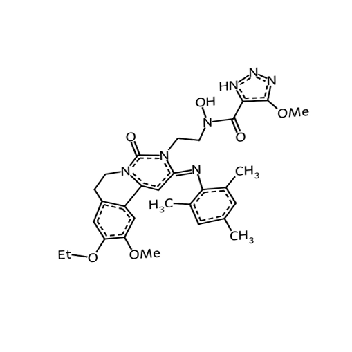 CCOc1cc2c(cc1OC)-c1c/c(=N\c3c(C)cc(C)cc3C)n(CCN(O)C(=O)c3[nH]nnc3OC)c(=O)n1CC2